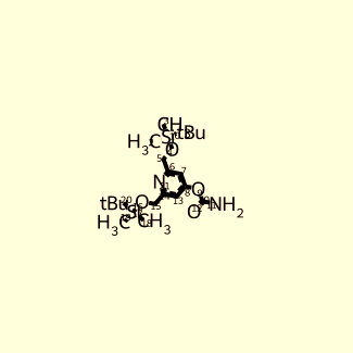 CC(C)(C)[Si](C)(C)OCc1cc(OC(N)=O)cc(CO[Si](C)(C)C(C)(C)C)n1